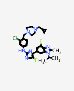 Cc1nc2c(F)cc(-c3nc(Nc4ccc(CN5CCN(CC6CC6)CC5)c(Cl)c4)ncc3F)cc2n1C(C)C